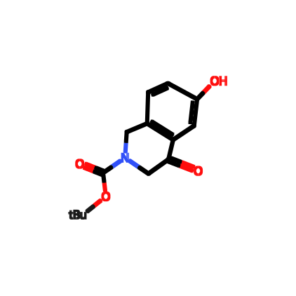 CC(C)(C)OC(=O)N1CC(=O)c2cc(O)ccc2C1